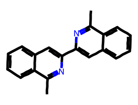 Cc1nc(-c2cc3ccccc3c(C)n2)cc2ccccc12